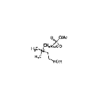 CCCCCCCCCC[N+](C)(C)C.COP(=O)([O-])OC